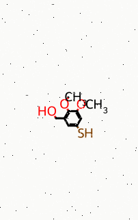 COc1cc(S)cc(CO)c1OC